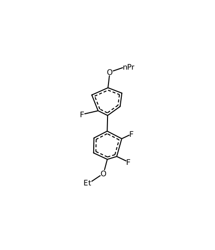 CCCOc1ccc(-c2ccc(OCC)c(F)c2F)c(F)c1